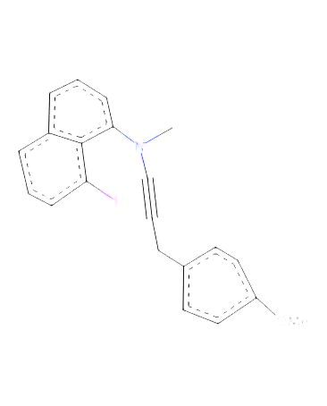 COc1ccc(CC#CN(C)c2cccc3cccc(I)c23)cc1